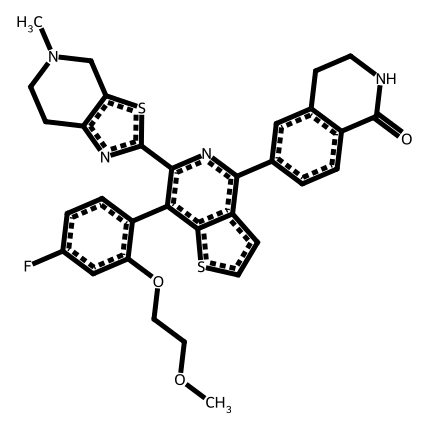 COCCOc1cc(F)ccc1-c1c(-c2nc3c(s2)CN(C)CC3)nc(-c2ccc3c(c2)CCNC3=O)c2ccsc12